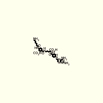 NCCCCCC(=O)Nc1ccc(C(=O)NCCC[C@H](NC(=O)c2ccc(NCc3cnc4nc(N)nc(N)c4n3)cc2)C(=O)O)c(C(=O)O)c1